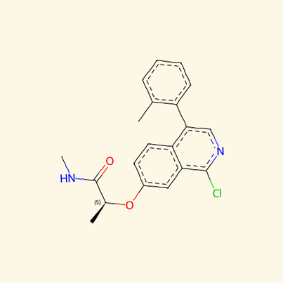 CNC(=O)[C@H](C)Oc1ccc2c(-c3ccccc3C)cnc(Cl)c2c1